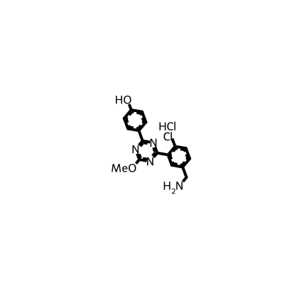 COc1nc(-c2ccc(O)cc2)nc(-c2cc(CN)ccc2Cl)n1.Cl